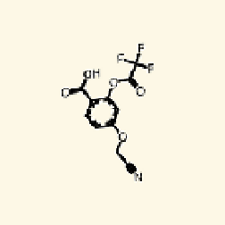 N#CCOc1ccc(C(=O)O)c(OC(=O)C(F)(F)F)c1